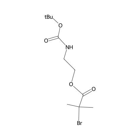 CC(C)(C)OC(=O)NCCOC(=O)C(C)(C)Br